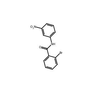 O=C(Nc1cccc([N+](=O)[O-])c1)c1ccccc1Br